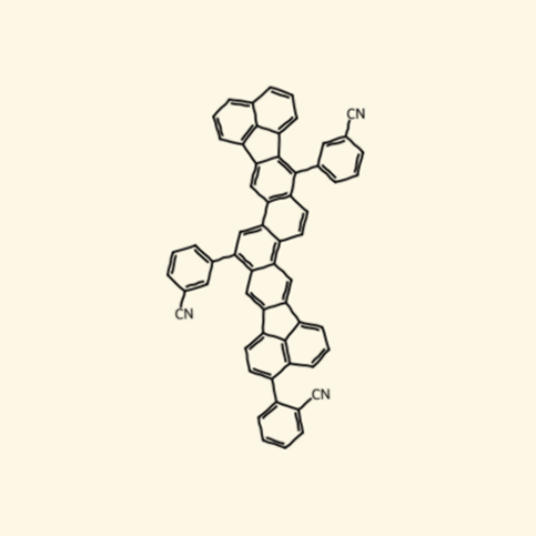 N#Cc1cccc(-c2cc3c4cc5c(c(-c6cccc(C#N)c6)c4ccc3c3cc4c(cc23)-c2ccc(-c3ccccc3C#N)c3cccc-4c23)-c2cccc3cccc-5c23)c1